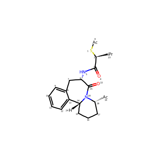 CC(=O)S[C@H](C(=O)N[C@H]1Cc2ccccc2[C@H]2CCC[C@@H](C(C)=O)N2C1=O)C(C)C